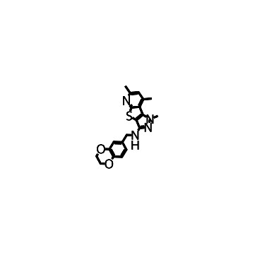 Cc1cc(C)c2c(n1)sc1c(NCc3ccc4c(c3)OCCO4)nn(C)c12